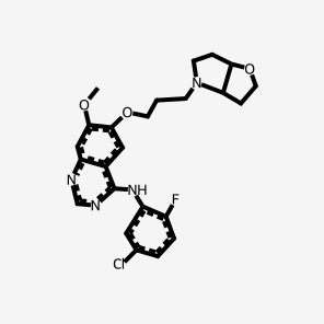 COc1cc2ncnc(Nc3cc(Cl)ccc3F)c2cc1OCCCN1CCC2OCCC21